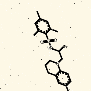 Cc1cc(C)c(S(=O)(=O)NC(CN2CCCc3cc(C)ccc32)C(C)C)c(C)c1